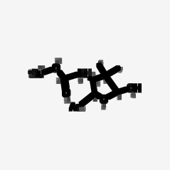 CC(=O)C1OC(O)C(C)(C)[C@H]1NC(=O)OC(C)(C)C